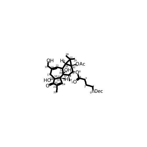 CCCCCCCCCCCCCC(=O)O[C@@H]1[C@@H](C)[C@@]2(O)C(C=C(CO)C[C@]3(O)C(=O)C(C)=C[C@@H]23)[C@@H]2C(C)(C)[C@]12OC(C)=O